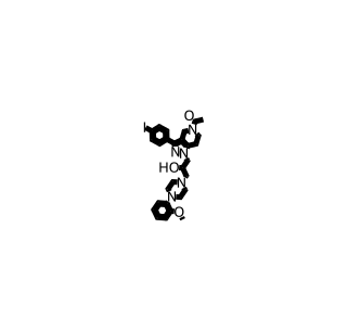 COc1ccccc1N1CCN(CC(O)Cn2nc(-c3ccc(I)cc3)c3c2CCN(C(C)=O)C3)CC1